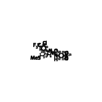 CSCCCC1(C)CN(C(=O)Nc2ccc(S(C)(=O)=O)cc2)N=C1c1ccc(C(F)(F)F)c(Cl)c1